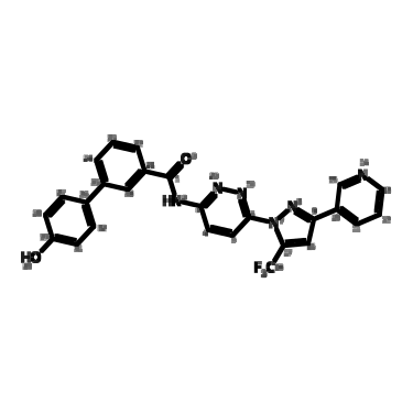 O=C(Nc1ccc(-n2nc(-c3cccnc3)cc2C(F)(F)F)nn1)c1cccc(-c2ccc(O)cc2)c1